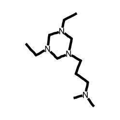 CCN1CN(CC)CN(CCCN(C)C)C1